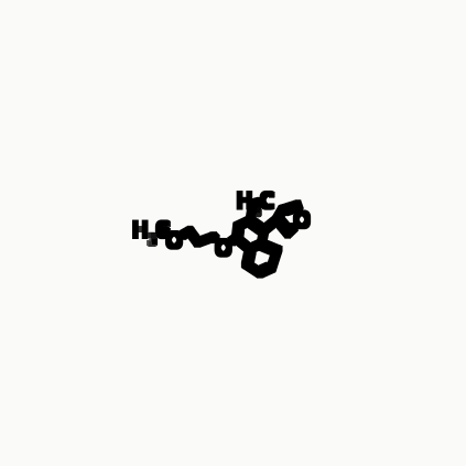 CCc1cc(OCCCOC)c2ccccc2c1-c1ccoc1